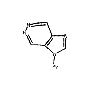 CC(C)n1cnc2cnncc21